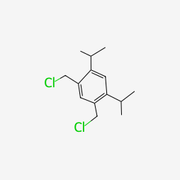 CC(C)c1cc(C(C)C)c(CCl)cc1CCl